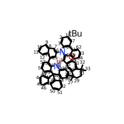 CC(C)(C)c1ccc(N2c3cc4ccccc4c4c3B(c3c2oc2cc5c(cc32)C(C)(C)CCC5(C)C)N2c3ccccc3C(c3ccccc3)(c3ccccc3)c3cccc-4c32)c(-c2ccccc2)c1